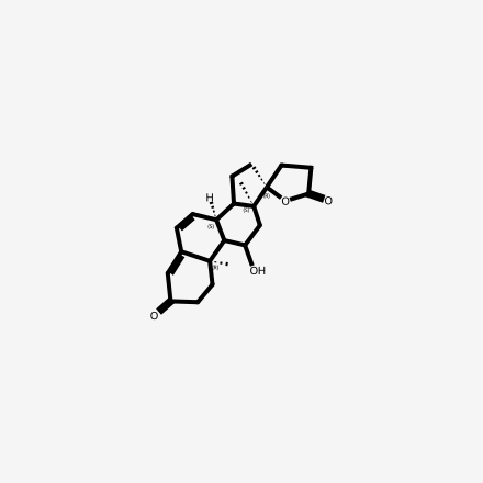 C[C@]12CCC(=O)C=C1C=C[C@@H]1C2C(O)C[C@@]2(C)C1CC[C@@]21CCC(=O)O1